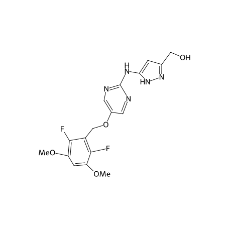 COc1cc(OC)c(F)c(COc2cnc(Nc3cc(CO)n[nH]3)nc2)c1F